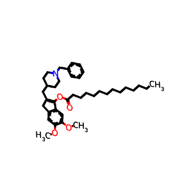 CCCCCCCCCCCCCC(=O)OC1=C(CC2CCN(Cc3ccccc3)CC2)Cc2cc(OC)c(OC)cc21